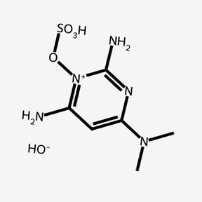 CN(C)c1cc(N)[n+](OS(=O)(=O)O)c(N)n1.[OH-]